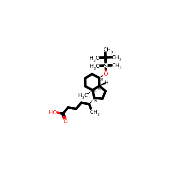 CC(CCCC(=O)O)[C@H]1CC[C@H]2[C@@H](O[Si](C)(C)C(C)(C)C)CCC[C@]12C